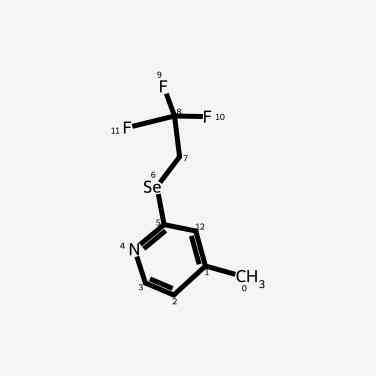 Cc1ccnc([Se]CC(F)(F)F)c1